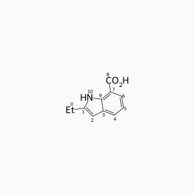 CCc1cc2cccc(C(=O)O)c2[nH]1